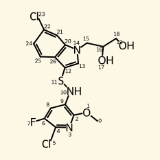 COc1nc(Cl)c(F)cc1NSc1cn(CC(O)CO)c2cc(Cl)ccc12